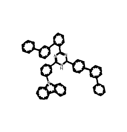 c1ccc(-c2cccc(-c3ccc(C4N=C(c5ccccc5-c5cccc(-c6ccccc6)c5)N=C(c5cccc(-n6c7ccccc7c7ccccc76)c5)N4)cc3)c2)cc1